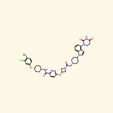 N#Cc1ccc(O[C@H]2CC[C@H](NC(=O)c3ccc(OC4CN(C(=O)CN5CCC(n6ccc7c(N8CCC(=O)NC8=O)cccc76)CC5)C4)nn3)CC2)cc1Cl